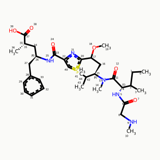 CCC(C)[C@H](NC(=O)CNC)C(=O)N(C)[C@H](CC(OC)c1nc(C(=O)N[C@@H](Cc2ccccc2)C[C@H](C)C(=O)O)cs1)C(C)C